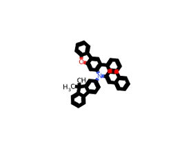 CC1(C)c2ccccc2-c2ccc(N(c3ccc4ccccc4c3)c3cc4oc5ccccc5c4cc3-c3ccccc3)cc21